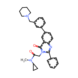 CN(C(=O)Cn1c(-c2ccccc2)nc2ccc(-c3cccc(CN4CCCCC4)c3)cc2c1=O)C1CC1